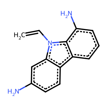 C=Cn1c2cc(N)ccc2c2cccc(N)c21